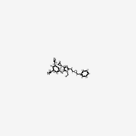 CCn1c(CCOCc2ccccc2)nc(C2CC2)c1Sc1cc(C#N)cc(C#N)c1